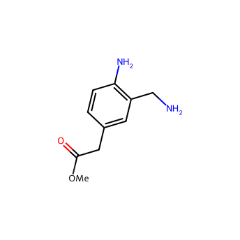 COC(=O)Cc1ccc(N)c(CN)c1